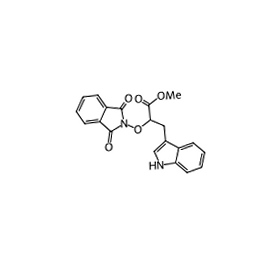 COC(=O)C(Cc1c[nH]c2ccccc12)ON1C(=O)c2ccccc2C1=O